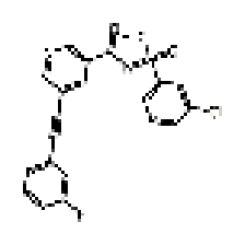 CS(=O)(=NC(=O)c1cncc(C#Cc2cccc(F)c2)c1)c1cccc(Cl)c1